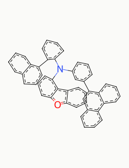 c1cc(-c2cc3ccccc3c3ccccc23)cc(N(c2ccccc2-c2cccc3ccccc23)c2cccc3oc4ccccc4c23)c1